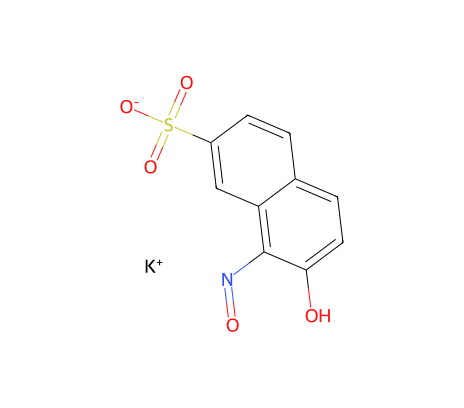 O=Nc1c(O)ccc2ccc(S(=O)(=O)[O-])cc12.[K+]